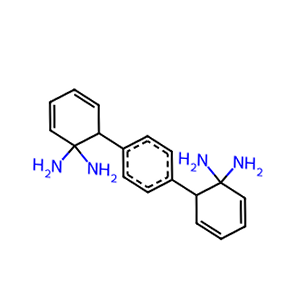 NC1(N)C=CC=CC1c1ccc(C2C=CC=CC2(N)N)cc1